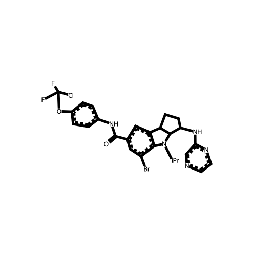 CC(C)N1c2c(Br)cc(C(=O)Nc3ccc(OC(F)(F)Cl)cc3)cc2C2CCC(Nc3cnccn3)C21